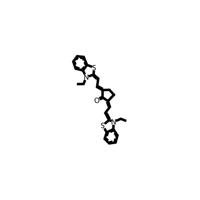 CCN1C(=CC=C2CCC(=CC=C3Sc4ccccc4N3CC)C2=O)Sc2ccccc21